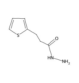 NNC(=O)CCc1cccs1